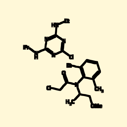 CCNc1nc(Cl)nc(NC(C)C)n1.CCc1cccc(C)c1N(C(=O)CCl)C(C)COC